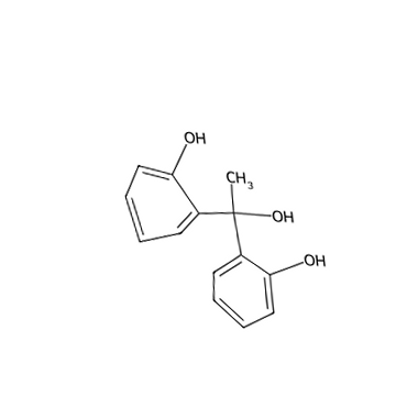 CC(O)(c1ccccc1O)c1ccccc1O